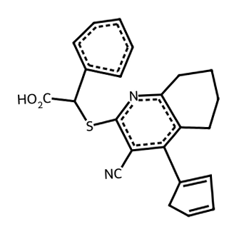 N#Cc1c(SC(C(=O)O)c2ccccc2)nc2c(c1C1=CC=CC1)CCCC2